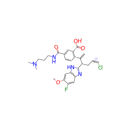 C=C(c1ccc(C(=O)NCCCN(C)C)cc1C(=O)O)C(C/C=C\Cl)c1nc2cc(F)c(OC)cc2[nH]1